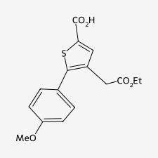 CCOC(=O)Cc1cc(C(=O)O)sc1-c1ccc(OC)cc1